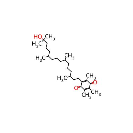 CC1=C(C)C(=O)C(CCC(C)CCCC(C)CCCC(C)CCCC(C)(C)O)=C(C)C1=O